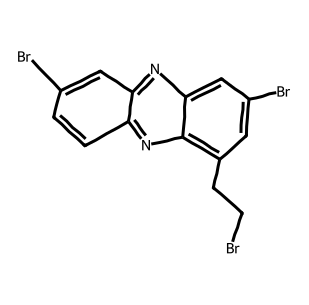 BrCCc1cc(Br)cc2nc3cc(Br)ccc3nc12